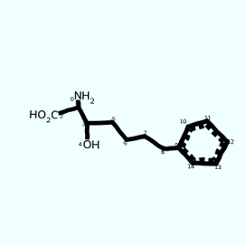 NC(C(=O)O)C(O)CCCCc1ccccc1